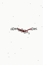 CCCCCCCCCCCCCCCCCCCCOC(C)c1ccc(OC(=O)c2ccc(OCCCCCCCCCCCCC)cc2)cc1